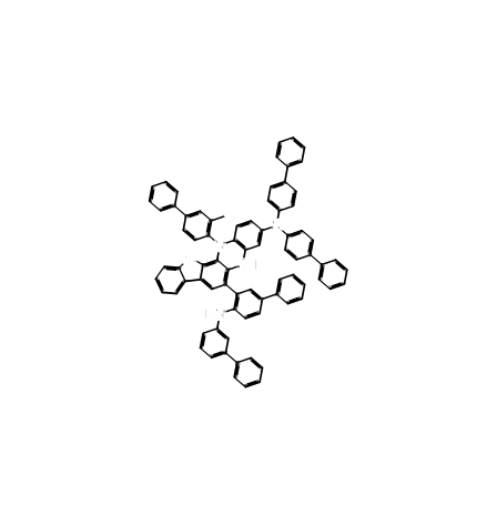 Cc1cc(-c2ccccc2)ccc1N1c2ccc(N(c3ccc(-c4ccccc4)cc3)c3ccc(-c4ccccc4)cc3)cc2Bc2c(-c3cc(-c4ccccc4)ccc3Nc3cccc(-c4ccccc4)c3)cc3c(oc4ccccc43)c21